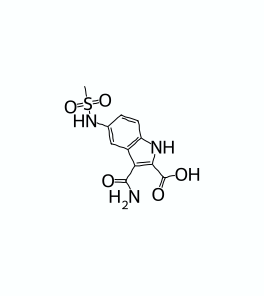 CS(=O)(=O)Nc1ccc2[nH]c(C(=O)O)c(C(N)=O)c2c1